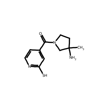 CC1(N)CCN(C(=O)c2ccnc(S)c2)C1